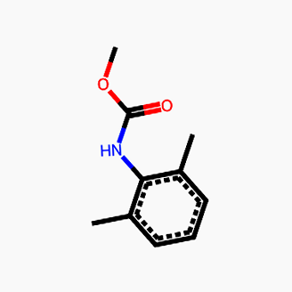 COC(=O)Nc1c(C)cccc1C